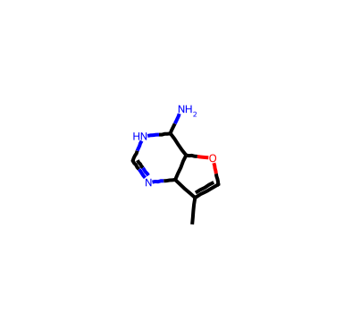 CC1=COC2C(N)NC=NC12